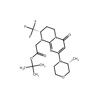 C[C@@H]1COCCN1c1cc(=O)n2c(n1)N(CC(=O)OC(C)(C)C)[C@H](C(F)(F)F)CC2